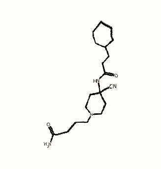 N#CC1(NC(=O)[CH]CC2CCCCC2)CCN(CCCC(N)=O)CC1